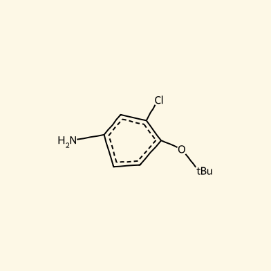 CC(C)(C)Oc1ccc(N)cc1Cl